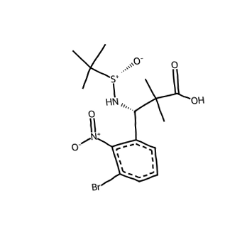 CC(C)(C(=O)O)[C@@H](N[S@@+]([O-])C(C)(C)C)c1cccc(Br)c1[N+](=O)[O-]